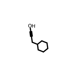 OC#CCC1CCCCC1